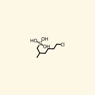 CC(CCCCCl)C[Si](O)(O)O